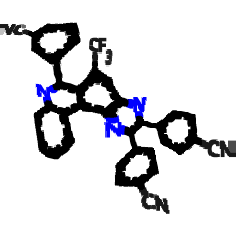 N#Cc1ccc(-c2nc3cc(C(F)(F)F)c4c(-c5cccc(C#N)c5)nc5ccccc5c4c3nc2-c2ccc(C#N)cc2)cc1